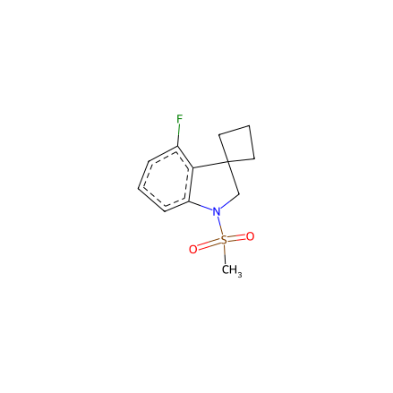 CS(=O)(=O)N1CC2(CCC2)c2c(F)cccc21